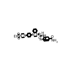 CCS(=O)(=O)N1CCN(c2ccc(N3CCN(OC(=O)NC4[C@@H]5CC6C[C@H]4CC(C(N)=O)(C6)C5)c4ccccc43)cc2)CC1